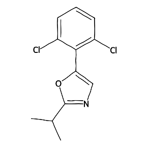 CC(C)c1ncc(-c2c(Cl)cccc2Cl)o1